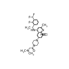 Cc1cc(N[C@H](C)c2cccc(C(F)F)c2F)c2cc(N3CCN(C(=O)CN(C)C)CC3)ccc2n1.Cl.Cl